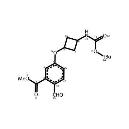 COC(=O)c1cc(OC2CC(NC(=O)OC(C)(C)C)C2)ccc1C=O